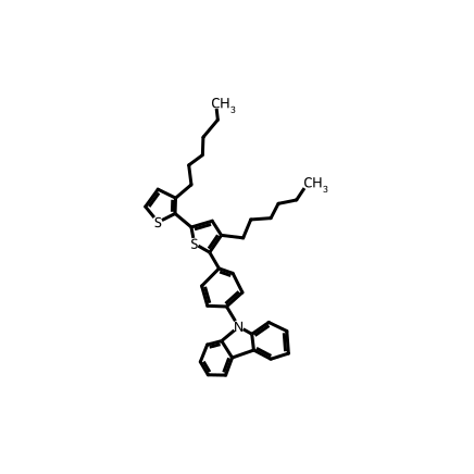 CCCCCCc1cc(-c2sccc2CCCCCC)sc1-c1ccc(-n2c3ccccc3c3ccccc32)cc1